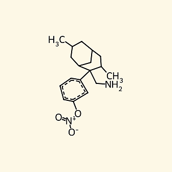 CC1CC2CC(C)C(CN)(c3cccc(O[N+](=O)[O-])c3)C(C1)C2